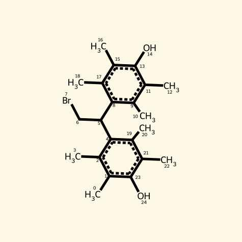 Cc1c(C)c(C(CBr)c2c(C)c(C)c(O)c(C)c2C)c(C)c(C)c1O